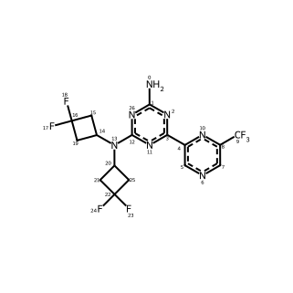 Nc1nc(-c2cncc(C(F)(F)F)n2)nc(N(C2CC(F)(F)C2)C2CC(F)(F)C2)n1